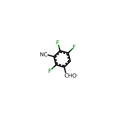 N#Cc1c(F)c(F)cc([C]=O)c1F